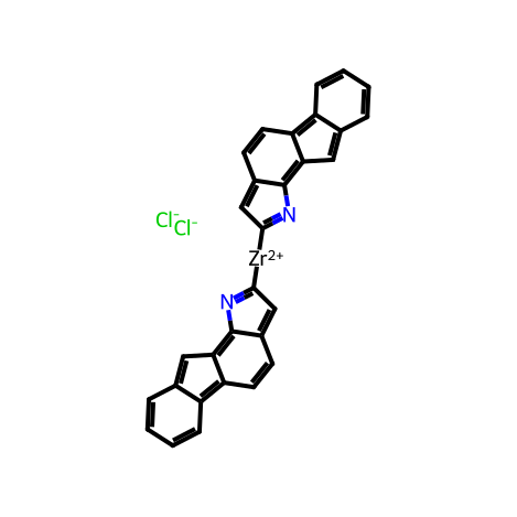 C1=c2ccc3c(c2N=[C]1[Zr+2][C]1=Nc2c4c(ccc2=C1)=c1ccccc1=C4)C=c1ccccc1=3.[Cl-].[Cl-]